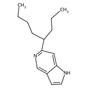 CCCCC(CCC)c1cc2[nH]ccc2cn1